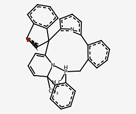 CC12C=CC=C3N1[PH](C)(Cc1ccccc1-c1cccc(n1)C31c3ccccc3-c3ccccc31)c1ccccc12